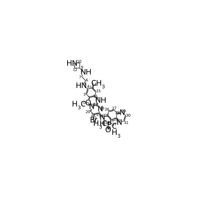 COc1cc(NCCNC2CNC2)c(C)cc1Nc1ncc(Br)c(Nc2ccc3nccnc3c2P(C)(C)=O)n1